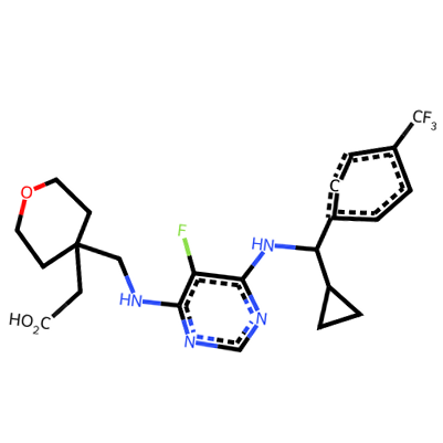 O=C(O)CC1(CNc2ncnc(NC(c3ccc(C(F)(F)F)cc3)C3CC3)c2F)CCOCC1